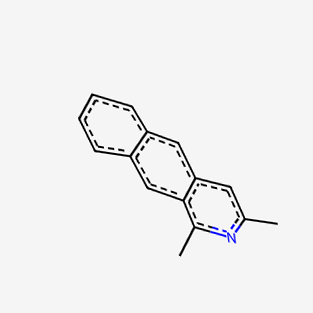 Cc1cc2cc3ccccc3cc2c(C)n1